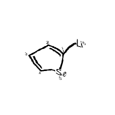 [Li][c]1ccc[se]1